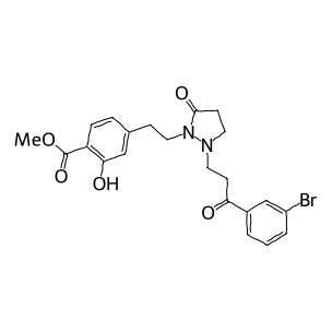 COC(=O)c1ccc(CCN2C(=O)CCN2CCC(=O)c2cccc(Br)c2)cc1O